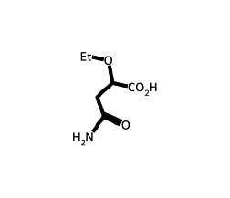 CCOC(CC(N)=O)C(=O)O